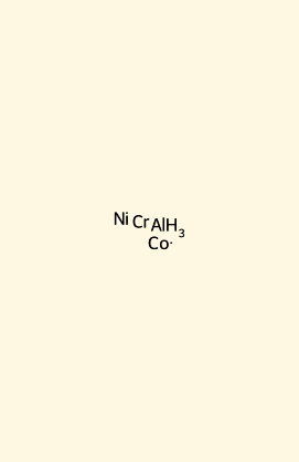 [AlH3].[Co].[Cr].[Ni]